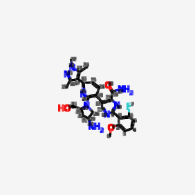 COc1cccc(F)c1-c1ncc(-c2ccc(-c3c(C)nn(C)c3C)nc2N2C[C@@H](N)C[C@H]2CO)c(C(N)=O)n1